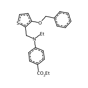 CCOC(=O)c1ccc(N(CC)Cc2sccc2OCc2ccccc2)cc1